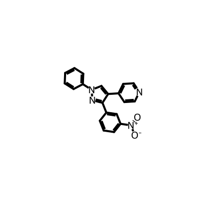 O=[N+]([O-])c1cccc(-c2nn(-c3ccccc3)cc2-c2ccncc2)c1